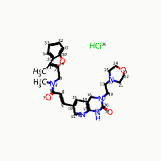 Cc1c(CN(C)C(=O)C=Cc2cnc3c(c2)CN(CCN2CCOCC2)C(=O)N3)oc2ccccc12.Cl